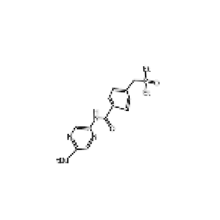 CCP(=O)(CC)Cc1ccc(C(=O)Nc2cnc(C(C)(C)C)cn2)cc1